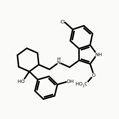 O=C(O)Oc1[nH]c2ccc(Cl)cc2c1CNCC1CCCCC1(O)c1cccc(O)c1